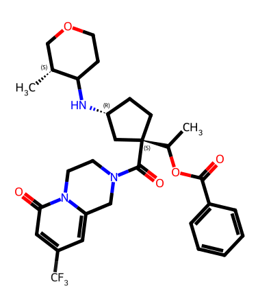 CC(OC(=O)c1ccccc1)[C@]1(C(=O)N2CCn3c(cc(C(F)(F)F)cc3=O)C2)CC[C@@H](NC2CCOC[C@H]2C)C1